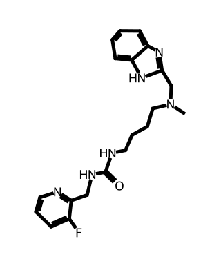 CN(CCCCNC(=O)NCc1ncccc1F)Cc1nc2ccccc2[nH]1